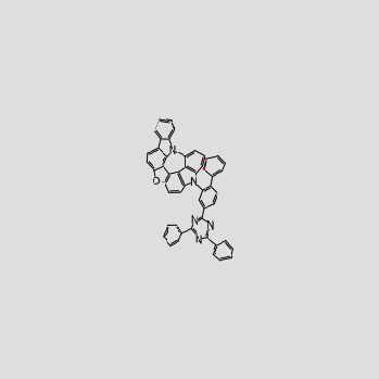 c1ccc(-c2nc(-c3ccccc3)nc(-c3ccc(-c4ccccc4)c(-n4c5ccc6oc7ccc8c9ccccc9n9c%10cccc4c%10c5c6c7c89)c3)n2)cc1